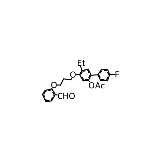 CCc1cc(-c2ccc(F)cc2)c(OC(C)=O)cc1OCCCOc1ccccc1C=O